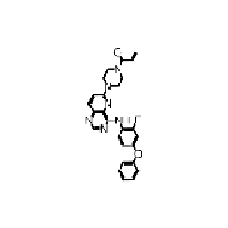 C=CC(=O)N1CCN(c2ccc3ncnc(Nc4ccc(Oc5ccccc5)cc4F)c3n2)CC1